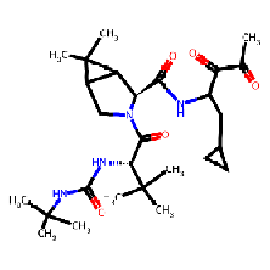 CC(=O)C(=O)C(CC1CC1)NC(=O)[C@@H]1C2C(CN1C(=O)[C@@H](NC(=O)NC(C)(C)C)C(C)(C)C)C2(C)C